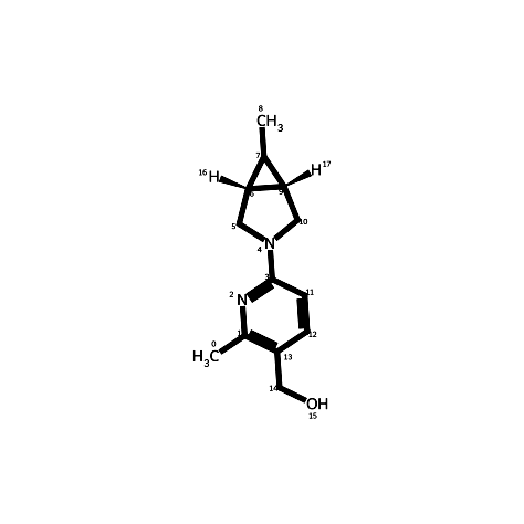 Cc1nc(N2C[C@@H]3C(C)[C@@H]3C2)ccc1CO